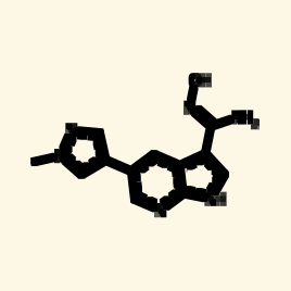 Cn1cc(-c2cnc3[nH]cc(C(N)=NO)c3c2)cn1